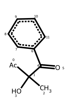 CC(=O)C(C)(O)C(=O)c1ccccc1